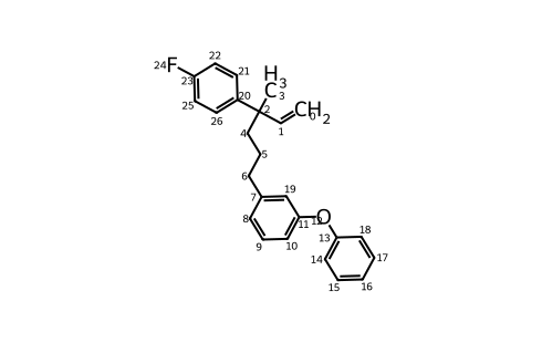 C=CC(C)(CCCc1cccc(Oc2ccccc2)c1)c1ccc(F)cc1